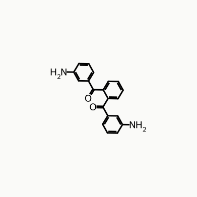 Nc1cccc(C(=O)c2ccccc2C(=O)c2cccc(N)c2)c1